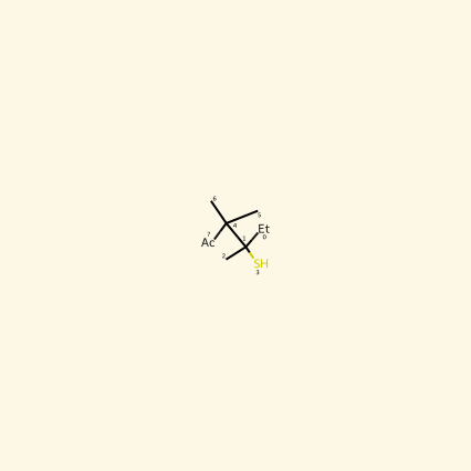 CCC(C)(S)C(C)(C)C(C)=O